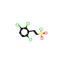 O=S(=O)(Cl)C=Cc1c(Cl)ccc(Cl)c1Cl